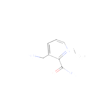 CC(=O)O.NCc1cccnc1C(N)=O